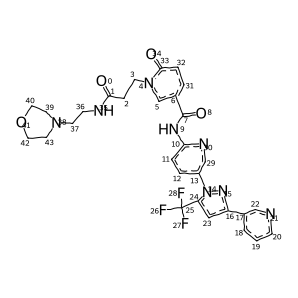 O=C(CCn1cc(C(=O)Nc2ccc(-n3nc(-c4cccnc4)cc3C(F)(F)F)cn2)ccc1=O)NCCN1CCOCC1